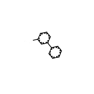 O=C(O)c1cccc(-c2[c]cccc2)c1